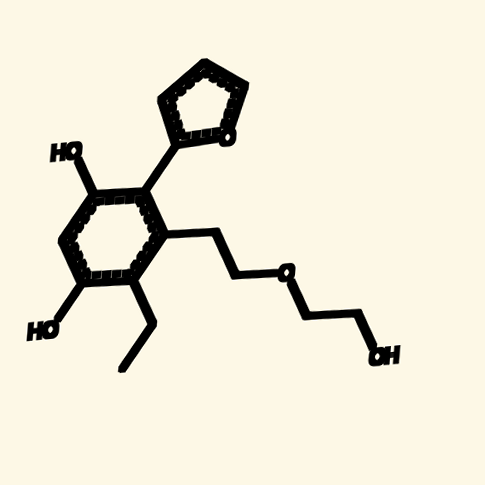 CCc1c(O)cc(O)c(-c2ccco2)c1CCOCCO